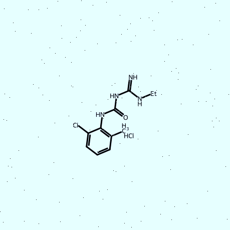 CCNC(=N)NC(=O)Nc1c(C)cccc1Cl.Cl